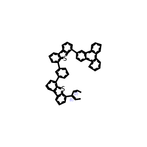 C/C=C\C(=C/C)c1cccc2c1sc1c(-c3cccc(-c4cccc5c4sc4c(-c6ccc7c8ccccc8c8ccccc8c7c6)cccc45)c3)cccc12